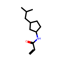 C=CC(=O)NC1CCC(CC(C)C)C1